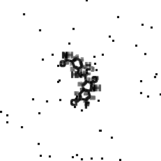 C[C@H](Nc1cccc(C(N)=O)c1)c1cc2cc(Cl)c(F)cc2[nH]c1=O